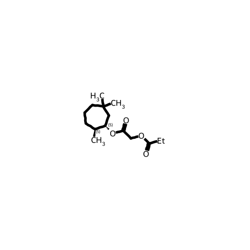 CCC(=O)OCC(=O)O[C@H]1CC(C)(C)CCC[C@@H]1C